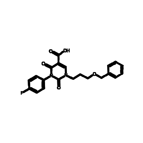 O=C(O)c1cn(CCCOCc2ccccc2)c(=O)n(-c2ccc(F)cc2)c1=O